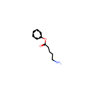 NCCCCC(=O)Oc1ccccc1